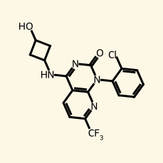 O=c1nc(NC2CC(O)C2)c2ccc(C(F)(F)F)nc2n1-c1ccccc1Cl